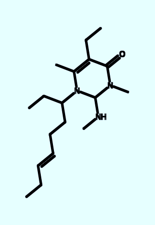 CCC=CCCC(CC)N1C(C)=C(CC)C(=O)N(C)C1NC